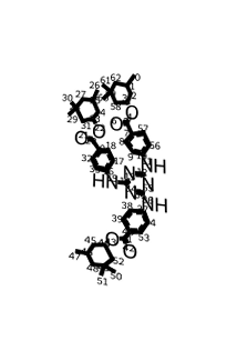 CC1CC(OC(=O)c2ccc(Nc3nc(Nc4ccc(C(=O)OC5CC(C)CC(C)(C)C5)cc4)nc(Nc4ccc(C(=O)OC5CC(C)CC(C)(C)C5)cc4)n3)cc2)CC(C)(C)C1